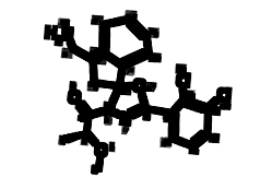 CO[C@@H](C)C(=O)N1N=C(c2cccc(Cl)c2Cl)OC1(CCCN)c1ccccc1